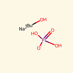 CC(C)(C)O.O=P([O-])(O)O.[Na+]